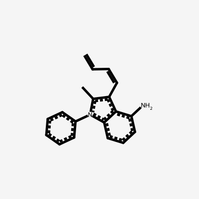 C=C/C=C\c1c(C)n(-c2ccccc2)c2cccc(N)c12